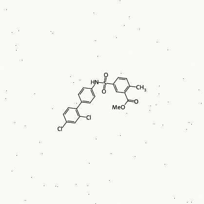 COC(=O)c1cc(S(=O)(=O)Nc2ccc(-c3ccc(Cl)cc3Cl)cc2)ccc1C